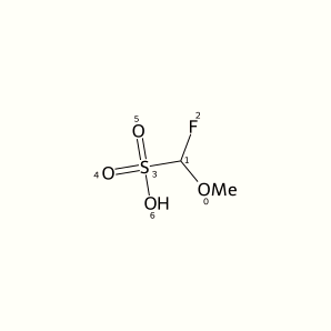 COC(F)S(=O)(=O)O